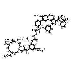 COc1cc2c(cc1-c1cccc(NC(=O)CCC(=O)Nc3cc(NC(=O)CN4CCN(CC(=O)O)CCN(CC(=O)O)CCN(CC(=O)O)CC4)cc(C(=O)O)c3)c1)-c1c(c(C(=O)N3CCOCC3(C)C)nn1-c1cc(Cl)cc(Cl)c1)CO2